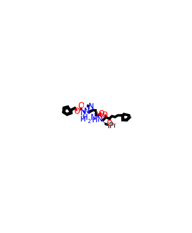 CC(C)C[C@H](NC(=O)[C@@H](N)Cc1cn(NC(=O)OCc2ccccc2)cn1)C(O)C(=O)CCCc1ccccc1